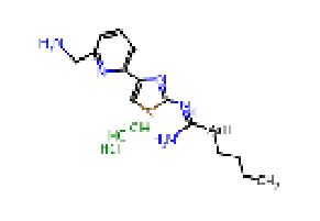 CCCC[AsH]/C(N)=N/c1nc(-c2cccc(CN)n2)cs1.Cl.Cl.Cl